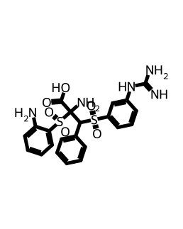 N=C(N)Nc1cccc(S(=O)(=O)C(c2ccccc2)C(N)(C(=O)O)S(=O)(=O)c2ccccc2N)c1